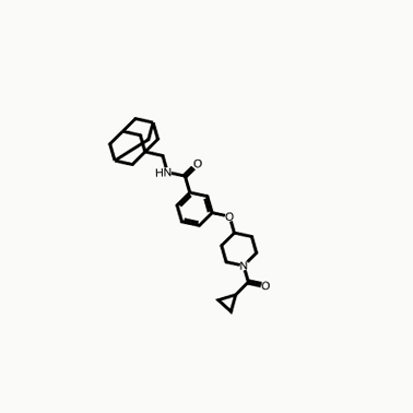 O=C(NCC12CC3CC(CC(C3)C1)C2)c1cccc(OC2CCN(C(=O)C3CC3)CC2)c1